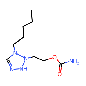 CCCCCN1C=NNN1CCOC(N)=O